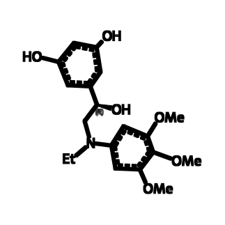 CCN(C[C@H](O)c1cc(O)cc(O)c1)c1cc(OC)c(OC)c(OC)c1